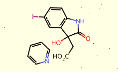 O=C(O)CC1(O)C(=O)Nc2ccc(I)cc21.c1ccncc1